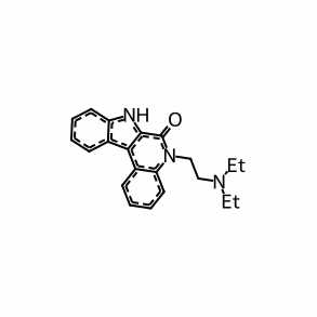 CCN(CC)CCn1c(=O)c2[nH]c3ccccc3c2c2ccccc21